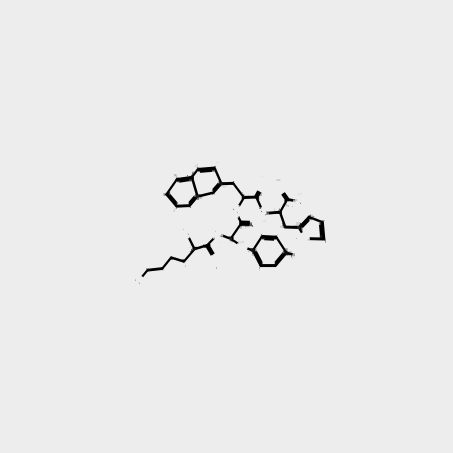 NCCCCC(N)C(=O)NC(Cc1ccc(Cl)cc1)C(=O)NC(Cc1ccc2ccccc2c1)C(=O)NC(Cc1cccs1)C(N)=O